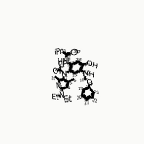 CCN(CC)c1cc(C)c(N(C(=O)C(F)(F)F)c2cc(NCOc3ccccc3)c(O)cc2NC(=O)C(C)C)c(C)n1